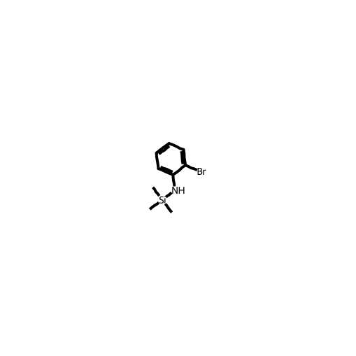 C[Si](C)(C)Nc1ccccc1Br